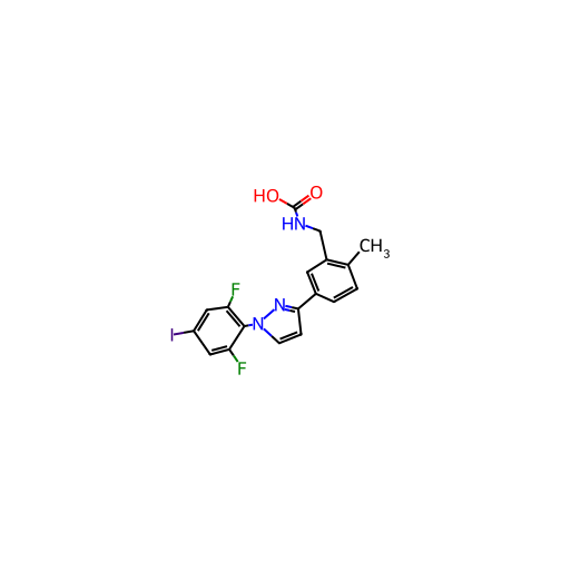 Cc1ccc(-c2ccn(-c3c(F)cc(I)cc3F)n2)cc1CNC(=O)O